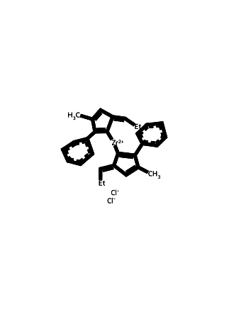 CCC=C1C=C(C)C(c2ccccc2)=[C]1[Zr+2][C]1=C(c2ccccc2)C(C)=CC1=CCC.[Cl-].[Cl-]